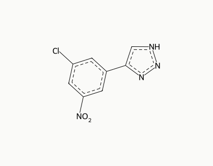 O=[N+]([O-])c1cc(Cl)cc(-c2c[nH]nn2)c1